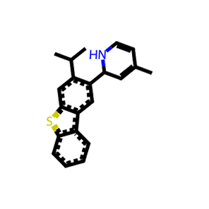 CC1=CC(c2cc3c(cc2C(C)C)sc2ccccc23)NC=C1